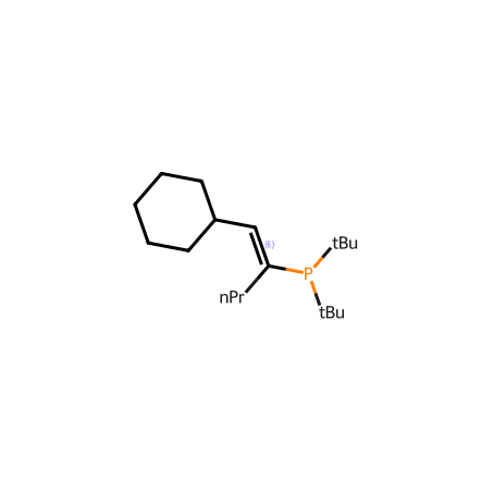 CCC/C(=C\C1CCCCC1)P(C(C)(C)C)C(C)(C)C